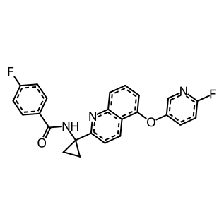 O=C(NC1(c2ccc3c(Oc4ccc(F)nc4)cccc3n2)CC1)c1ccc(F)cc1